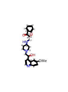 COc1ccc2nccc(C(O)CN3CCC(NC[C@H]4Oc5ccccc5C4=O)CC3)c2c1